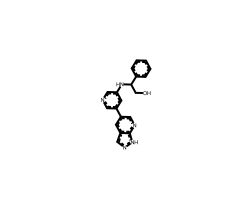 OCC(Nc1cncc(-c2cnc3[nH]ncc3c2)c1)c1ccccc1